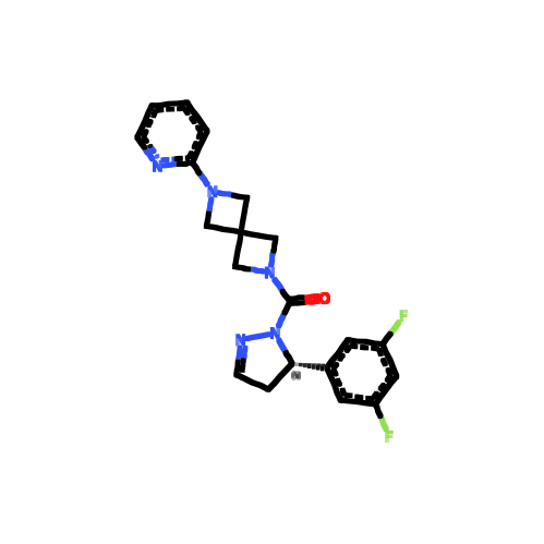 O=C(N1CC2(C1)CN(c1ccccn1)C2)N1N=CC[C@H]1c1cc(F)cc(F)c1